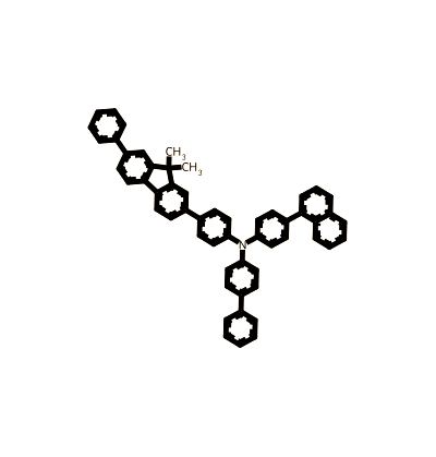 CC1(C)c2cc(-c3ccccc3)ccc2-c2ccc(-c3ccc(N(c4ccc(-c5ccccc5)cc4)c4ccc(-c5cccc6ccccc56)cc4)cc3)cc21